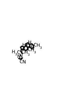 C[C@H]1CC[C@@]2(C)[C@H](CC[C@H]3[C@@H]4CC[C@H]([C@@H](C)Cn5cc(C#N)cn5)[C@@]4(C)CC[C@@]32C)C1